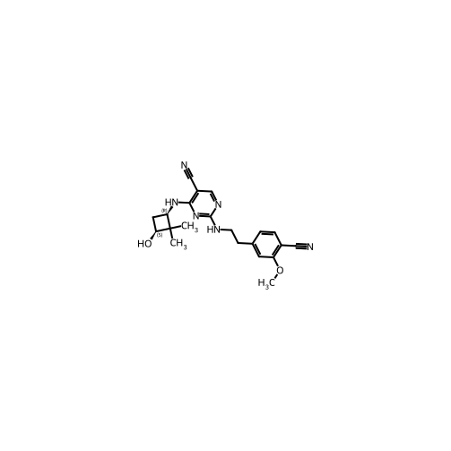 COc1cc(CCNc2ncc(C#N)c(N[C@@H]3C[C@H](O)C3(C)C)n2)ccc1C#N